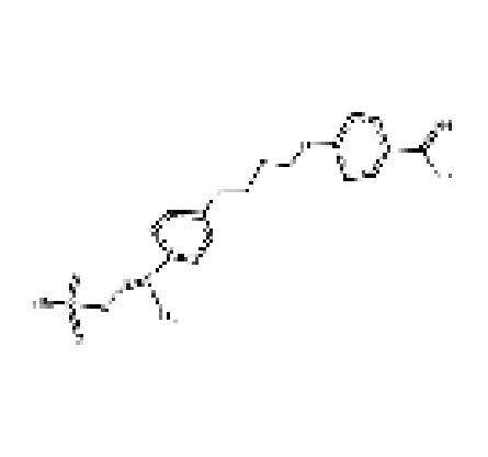 CCCCS(=O)(=O)O/N=C(/c1ccc(OCCCOc2ccc(C(=N)C(F)(F)F)cc2)cc1)C(F)(F)F